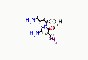 NCCC[C@H](C(=O)O)N(CCN)C(=O)CCP